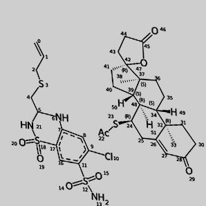 C=CCSCC1Nc2cc(Cl)c(S(N)(=O)=O)cc2S(=O)(=O)N1.CC(=O)S[C@@H]1CC2=CC(=O)CC[C@]2(C)[C@H]2CC[C@@]3(C)[C@@H](CC[C@@]34CCC(=O)O4)[C@H]12